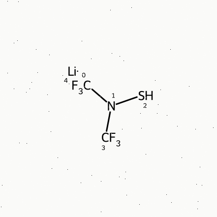 FC(F)(F)N(S)C(F)(F)F.[Li]